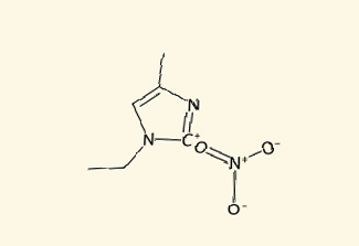 CCN1[C+]=NC(C)=C1.O=[N+]([O-])[O-]